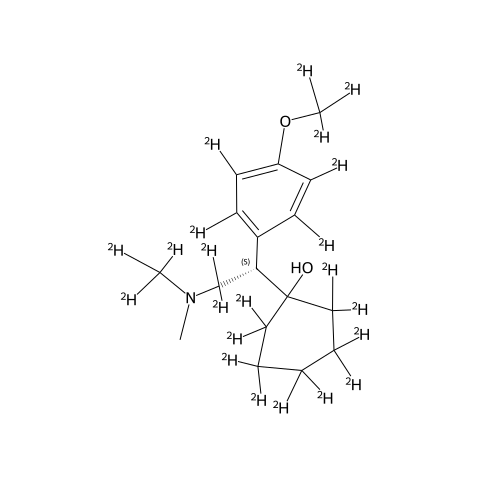 [2H]c1c([2H])c([C@@H](C([2H])([2H])N(C)C([2H])([2H])[2H])C2(O)C([2H])([2H])C([2H])([2H])C([2H])([2H])C([2H])([2H])C2([2H])[2H])c([2H])c([2H])c1OC([2H])([2H])[2H]